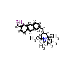 CN1C(C)(C)CC(Cc2ccc3cc4cc(CP)ccc4cc3c2)CC1(C)C